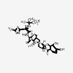 CC(C)(O/N=C(\C(=O)N[C@@H]1C(=O)N2C(C(=O)O)=C(C[N+]3(C)C[C@H]4C[C@@H]3CN4C(=O)c3ccc(O)c(O)c3Cl)CS[C@H]12)c1nsc(N)n1)C(=O)O